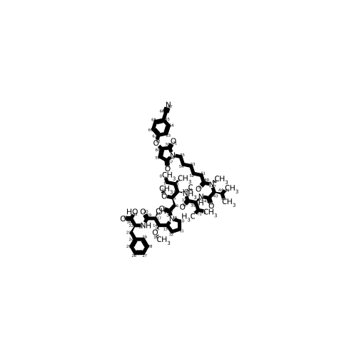 CC[C@@H](C)[C@@H]([C@@H](CC(=O)N1CCCC1[C@H](OC)[C@@H](C)C(=O)N[C@@H](Cc1ccccc1)C(=O)O)OC)N(C)C(=O)[C@@H](NC(=O)[C@H](C(C)C)N(C)C(=O)CCCCCN1C(=O)C=C(Oc2ccc(C#N)cc2)C1=O)C(C)C